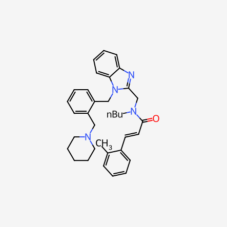 CCCCN(Cc1nc2ccccc2n1Cc1ccccc1CN1CCCCC1)C(=O)/C=C/c1ccccc1C